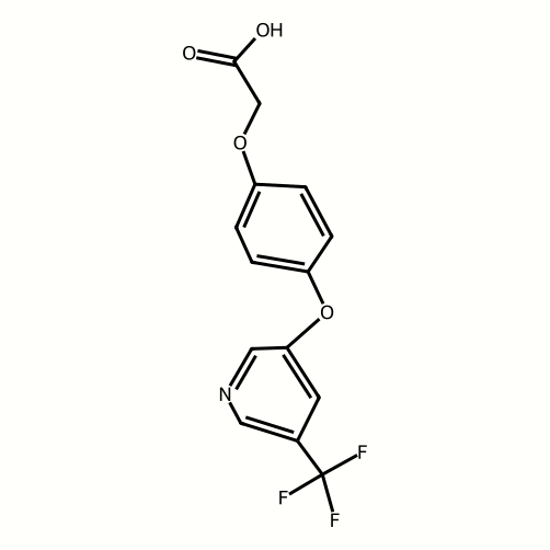 O=C(O)COc1ccc(Oc2cncc(C(F)(F)F)c2)cc1